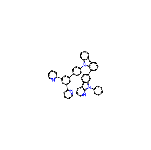 c1ccc(-n2c3cc(-c4cccc5c6ccccc6n(-c6ccc(-c7cc(-c8ccccn8)cc(-c8ccccn8)c7)cc6)c45)ccc3c3cccnc32)cc1